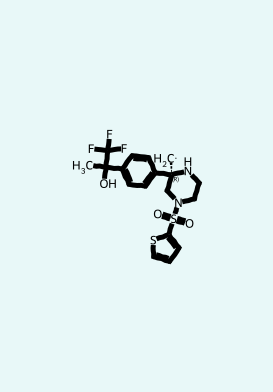 [CH2][C@@]1(c2ccc(C(C)(O)C(F)(F)F)cc2)CN(S(=O)(=O)c2cccs2)CCN1